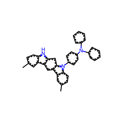 Cc1ccc2[nH]c3cc4c(cc3c2c1)c1cc(C)ccc1n4-c1ccc(N(c2ccccc2)c2ccccc2)cc1